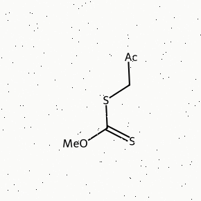 COC(=S)SCC(C)=O